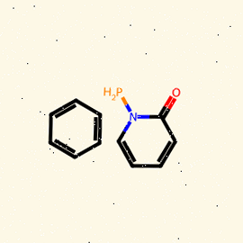 O=c1ccccn1P.c1ccccc1